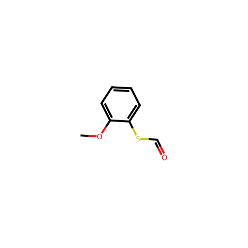 COc1ccccc1SC=O